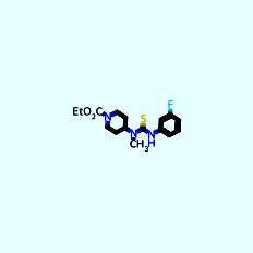 CCOC(=O)N1CCC(N(C)C(=S)Nc2cccc(F)c2)CC1